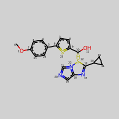 COc1ccc(-c2ccc(C(O)[SH]3C(C4CC4)=Nc4cncn43)s2)cc1